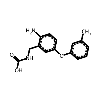 Cc1cccc(Oc2ccc(N)c(CNC(=O)O)c2)c1